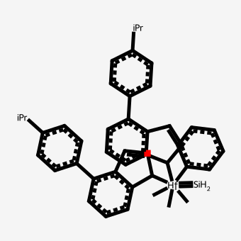 CC(C)c1ccc(-c2cccc3c2C=C[CH]3[Hf]([CH3])([CH3])([CH3])(=[SiH2])([c]2ccccc2)[CH]2C=Cc3c(-c4ccc(C(C)C)cc4)cccc32)cc1